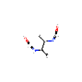 CC(C)C(N=C=O)C(C)N=C=O